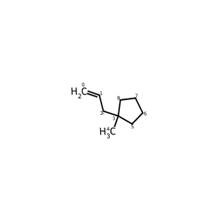 C=C[CH]C1(C)CCCC1